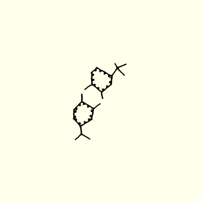 CC(C)c1ccc2c(c1)Oc1cc(C(C)(C)C)ccc1O2